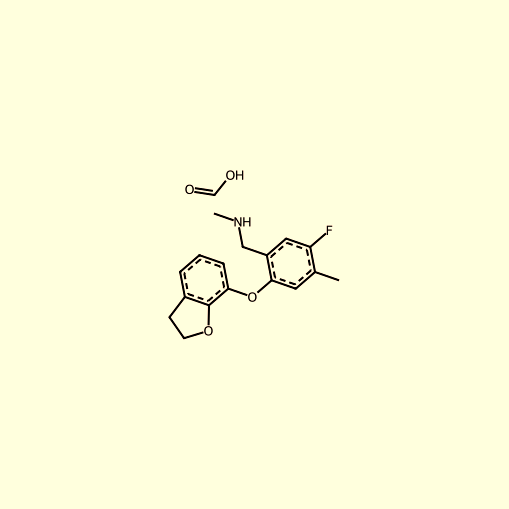 CNCc1cc(F)c(C)cc1Oc1cccc2c1OCC2.O=CO